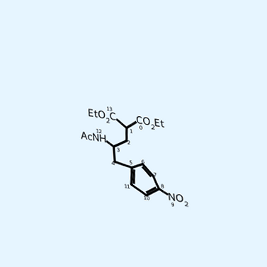 CCOC(=O)C(CC(Cc1ccc([N+](=O)[O-])cc1)NC(C)=O)C(=O)OCC